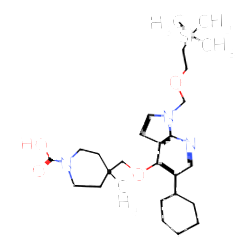 CC1(COc2c(C3CCCCC3)cnc3c2ccn3COCC[Si](C)(C)C)CCN(C(=O)O)CC1